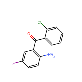 Nc1ccc(I)cc1C(=O)c1ccccc1Cl